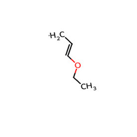 [CH2]/C=C/OCC